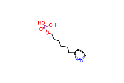 O=P(O)(O)OCCCCCCc1cccnn1